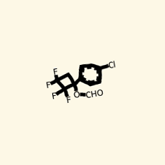 O=COC1(c2ccc(Cl)cc2)CC(F)(F)C1(F)F